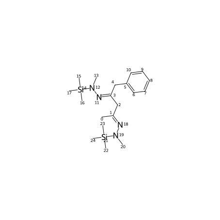 CC(CC(Cc1ccccc1)=NN(C)[Si](C)(C)C)=NN(C)[Si](C)(C)C